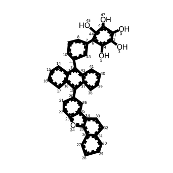 Oc1c(O)c(O)c(-c2cccc(-c3c4ccccc4c(-c4ccc5oc6c7ccccc7ccc6c5c4)c4ccccc34)c2)c(O)c1O